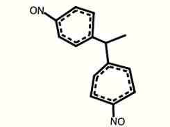 CC(c1ccc(N=O)cc1)c1ccc(N=O)cc1